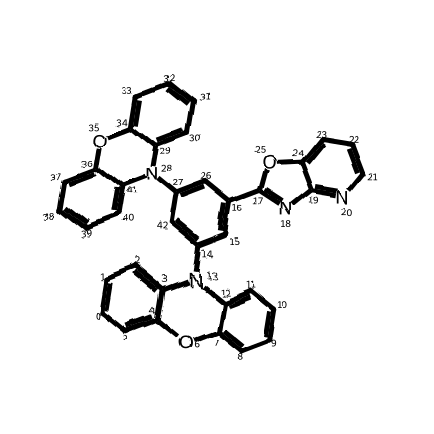 c1ccc2c(c1)Oc1ccccc1N2c1cc(-c2nc3ncccc3o2)cc(N2c3ccccc3Oc3ccccc32)c1